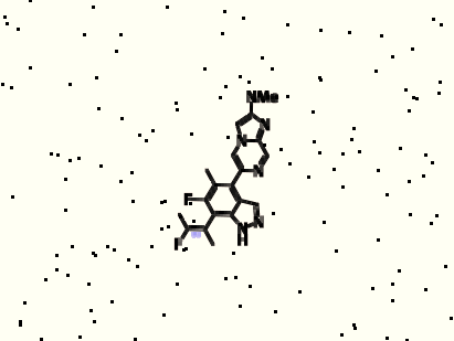 CNc1cn2cc(-c3c(C)c(F)c(/C(C)=C(\C)F)c4[nH]ncc34)ncc2n1